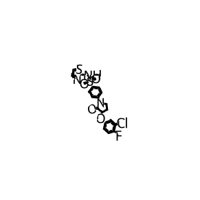 O=C1C(Oc2ccc(F)c(Cl)c2)CCN1c1ccc(S(=O)(=O)Nc2nccs2)cc1